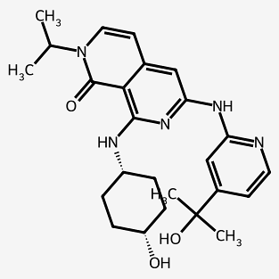 CC(C)n1ccc2cc(Nc3cc(C(C)(C)O)ccn3)nc(N[C@H]3CC[C@@H](O)CC3)c2c1=O